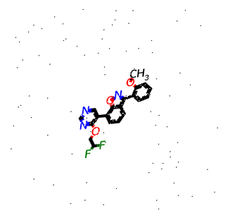 COc1ccccc1-c1noc2c(-c3cncnc3OCC(F)F)cccc12